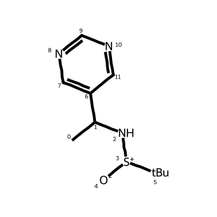 CC(N[S+]([O-])C(C)(C)C)c1cncnc1